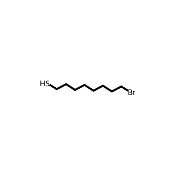 SCCCCCCCCBr